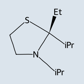 CC[C@]1(C(C)C)SCCN1C(C)C